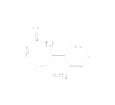 O=C1C=COc2cnc3ccccc3c2N1